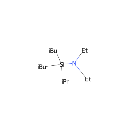 CCC(C)[Si](C(C)C)(C(C)CC)N(CC)CC